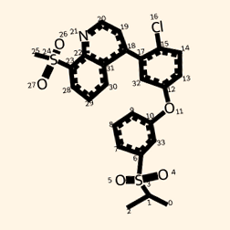 CC(C)S(=O)(=O)c1cccc(Oc2ccc(Cl)c(-c3ccnc4c(S(C)(=O)=O)cccc34)c2)c1